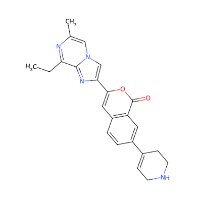 CCc1nc(C)cn2cc(-c3cc4ccc(C5=CCNCC5)cc4c(=O)o3)nc12